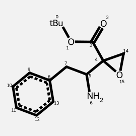 CC(C)(C)OC(=O)C1(C(N)Cc2ccccc2)CO1